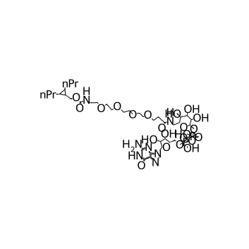 CCC[C@@H]1[C@H](CCC)[C@@H]1COC(=O)NCCOCCOCCOCCOCCC(=O)NCC1O[C@H](OP(=O)(O)OP(=O)(O)OC[C@H]2O[C@@H](n3cnc4c(=O)[nH]c(N)nc43)C(O)C2O)C(O)C(O)[C@@H]1O